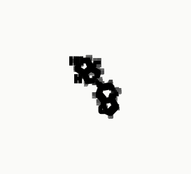 c1cc2ncc(N3C[C@H]4CNC[C@H]4C3)cc2o1